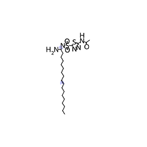 CCCCCCCC/C=C/CCCCCCC/C(N)=N\S(=O)(=O)c1nnc(NC(C)=O)s1